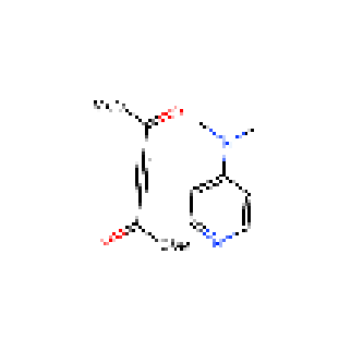 CN(C)c1ccncc1.COC(=O)C#CC(=O)OC